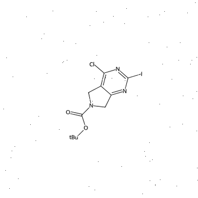 CC(C)(C)OC(=O)N1Cc2nc(I)nc(Cl)c2C1